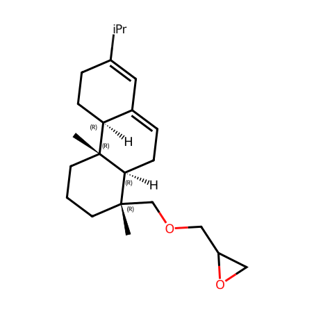 CC(C)C1=CC2=CC[C@H]3[C@](C)(COCC4CO4)CCC[C@]3(C)[C@H]2CC1